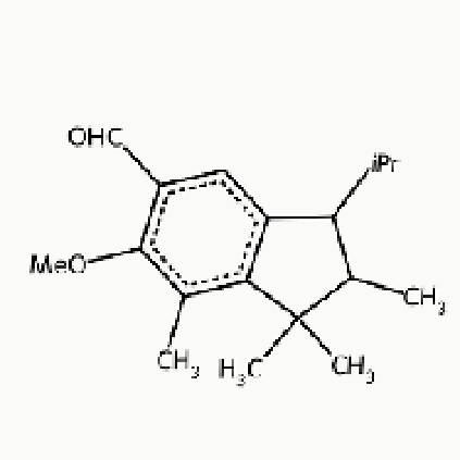 COc1c(C=O)cc2c(c1C)C(C)(C)C(C)C2C(C)C